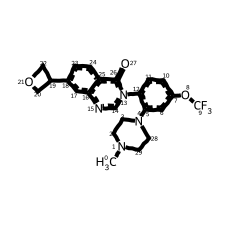 CN1CCN(c2cc(OC(F)(F)F)[c]cc2-n2cnc3cc(C4COC4)ccc3c2=O)CC1